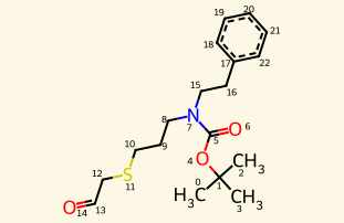 CC(C)(C)OC(=O)N(CCCSCC=O)CCc1ccccc1